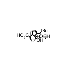 C[SiH](C)OC(C1=CC[C@@H]2C(C(=O)O)=COC(O)[C@@H]12)C(C)(C)C